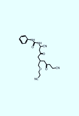 N#CCCOCC(CC(=O)CCC#N)CC(=O)CC(C#N)NC(=O)Nc1ccccc1